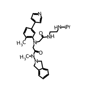 Cc1ccc(-c2ccncc2)cc1N(CC(=O)NCCNC(C)C)CC(=O)N(C)N1Cc2ccccc2C1